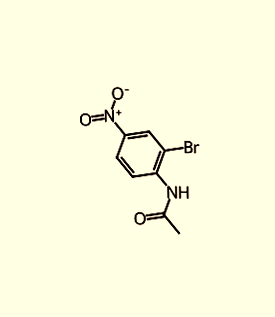 CC(=O)Nc1ccc([N+](=O)[O-])cc1Br